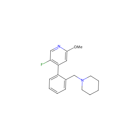 COc1cc(-c2ccccc2CN2CCCCC2)c(F)cn1